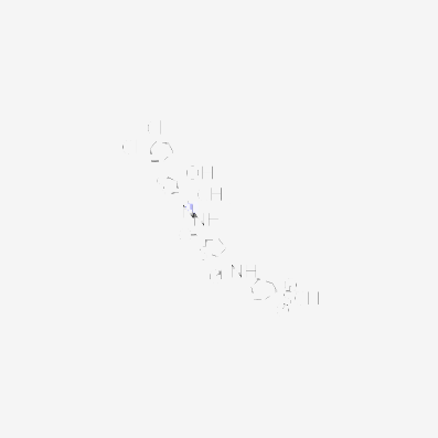 C/C(=N\NC(=O)c1ccc(C(=O)NCc2ccc(S(C)(=O)=O)cc2)s1)c1csc(-c2ccc(Cl)c(Cl)c2)c1O